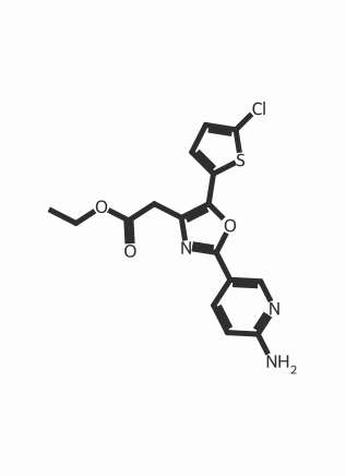 CCOC(=O)Cc1nc(-c2ccc(N)nc2)oc1-c1ccc(Cl)s1